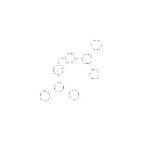 c1ccc(-c2cc(-c3ccc4oc5ccc(-c6cc(-c7ccccc7)nc(-c7cccnc7)n6)cc5c4c3)nc(-c3cccnc3)n2)cc1